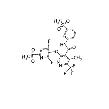 Cc1c(C(F)(F)F)nnc(Oc2c(F)cc(S(C)(=O)=O)nc2F)c1C(=O)Nc1cccc(S(C)(=O)=O)c1